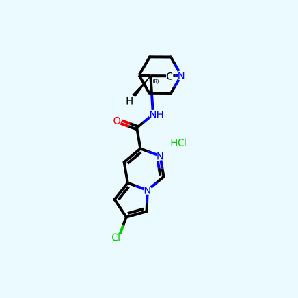 Cl.O=C(N[C@H]1CN2CCC1CC2)c1cc2cc(Cl)cn2cn1